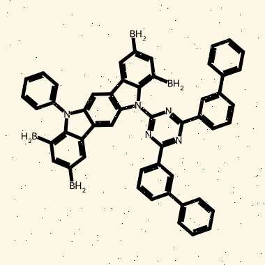 Bc1cc(B)c2c(c1)c1cc3c(cc1n2-c1ccccc1)c1cc(B)cc(B)c1n3-c1nc(-c2cccc(-c3ccccc3)c2)nc(-c2cccc(-c3ccccc3)c2)n1